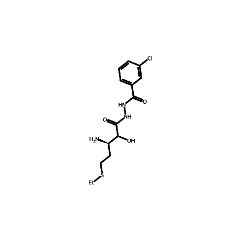 CCSCC[C@@H](N)C(O)C(=O)NNC(=O)c1cccc(Cl)c1